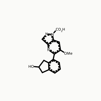 COc1cc2c(cnn2C(=O)O)nc1-c1cccc2c1CC(O)C2